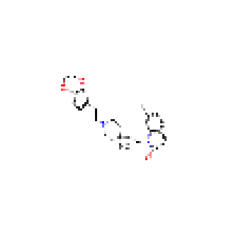 [C-]#[N+]C1(CCn2c(=O)cc(C)c3ccc(C)cc32)CCN(CCc2ccc3c(c2)OCCO3)CC1